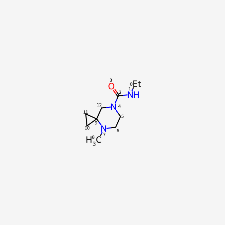 CCNC(=O)N1CCN(C)C2(CC2)C1